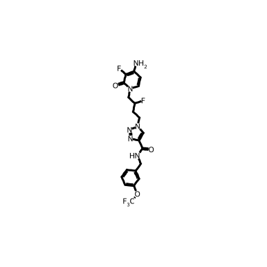 Nc1ccn(CC(F)CCn2cc(C(=O)NCc3cccc(OC(F)(F)F)c3)nn2)c(=O)c1F